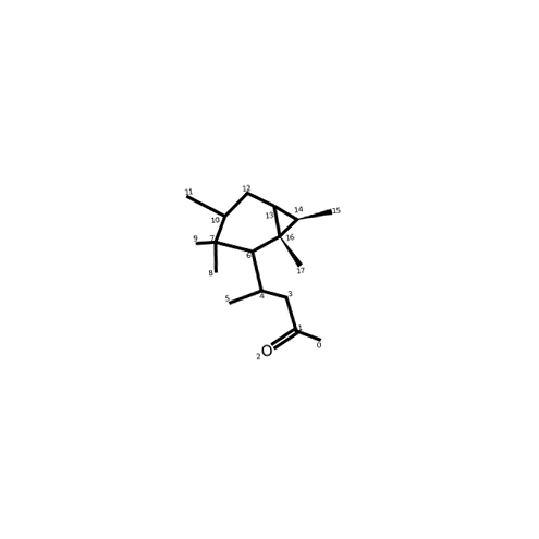 CC(=O)CC(C)C1C(C)(C)C(C)CC2[C@@H](C)[C@@]21C